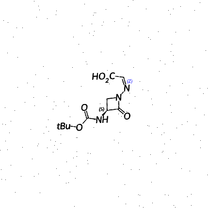 CC(C)(C)OC(=O)N[C@H]1CN(/N=C\C(=O)O)C1=O